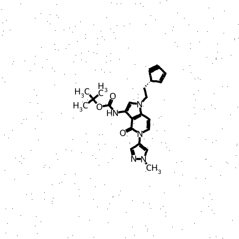 Cn1cc(-n2ccc3c(c(NC(=O)OC(C)(C)C)cn3CC[C@@H]3C#CC=C3)c2=O)cn1